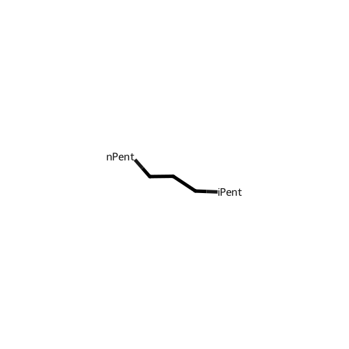 CC[CH]C(C)CCCCCCCC